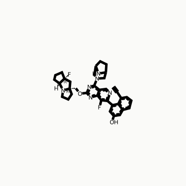 C#Cc1cccc2cc(O)cc(-c3ncc4c(N5CC6CCC(C5)N6)nc(OC[C@]56CCCN5[C@H]5CCC[C@@]5(F)C6)nc4c3F)c12